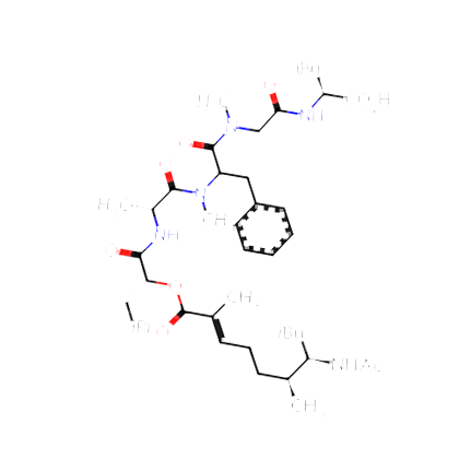 CCC(C)[C@H](NC(=O)CN(C)C(=O)C(Cc1ccccc1)N(C)C(=O)[C@@H](C)NC(=O)[C@@H](CC(C)C)OC(=O)/C(C)=C/CC[C@H](C)[C@H](NC(C)=O)C(C)CC)C(=O)O